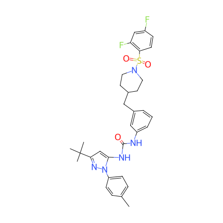 Cc1ccc(-n2nc(C(C)(C)C)cc2NC(=O)Nc2cccc(CC3CCN(S(=O)(=O)c4ccc(F)cc4F)CC3)c2)cc1